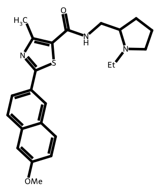 CCN1CCCC1CNC(=O)c1sc(-c2ccc3cc(OC)ccc3c2)nc1C